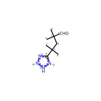 CC(C)(C=O)CC(C)(C)c1nn[nH]n1